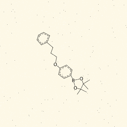 CC1(C)OB(c2ccc(OCCCc3ccccc3)cc2)OC1(C)C